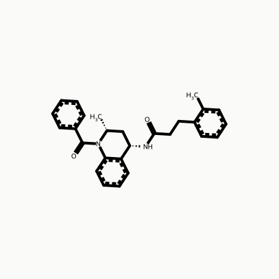 Cc1ccccc1CCC(=O)N[C@H]1C[C@@H](C)N(C(=O)c2ccccc2)c2ccccc21